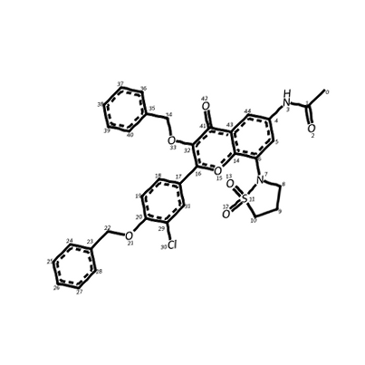 CC(=O)Nc1cc(N2CCCS2(=O)=O)c2oc(-c3ccc(OCc4ccccc4)c(Cl)c3)c(OCc3ccccc3)c(=O)c2c1